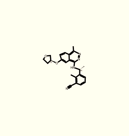 Cc1c(C#N)cccc1[C@@H](C)Nc1nnc(C)c2ccc(O[C@H]3CCOC3)cc12